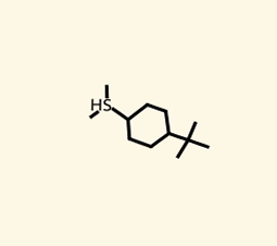 C[SH](C)C1CCC(C(C)(C)C)CC1